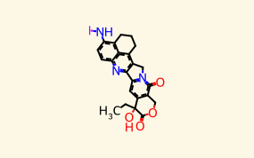 CC[C@@]1(O)C(=O)OCc2c1cc1n(c2=O)Cc2c-1nc1ccc(NI)c3c1c2CCC3